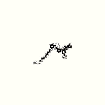 CC(NC(=O)c1cccc(NC2(c3nnc(-c4ccncc4)[nH]3)CCN(C(=O)OC(C)(C)C)CC2)c1)c1cccc(OCCCCCCOCCOCC(=O)O)c1